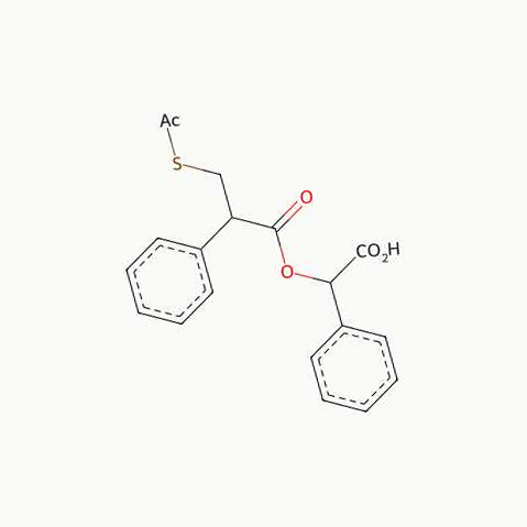 CC(=O)SCC(C(=O)OC(C(=O)O)c1ccccc1)c1ccccc1